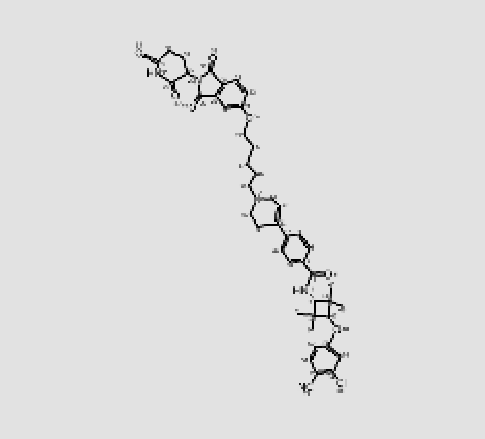 CC1(C)[C@H](NC(=O)c2ccc(C3=CCN(CCCCCOc4ccc5c(c4)C(=O)N(C4CCC(=O)NC4=O)C5=O)CC3)cc2)C(C)(C)[C@H]1Oc1ccc(C#N)c(Cl)c1